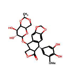 COc1cc([C@H]2c3cc4c(cc3[C@H](OC3OC5CO[C@@H](C)OC5[C@H](O)[C@H]3O)C3COC(=O)C32)OCO4)cc(O)c1O